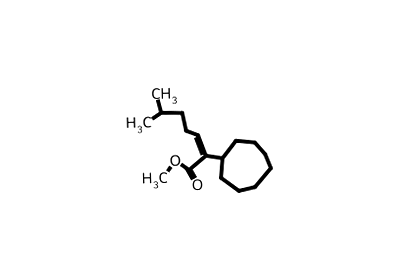 COC(=O)C(=CCCC(C)C)C1CCCCCCC1